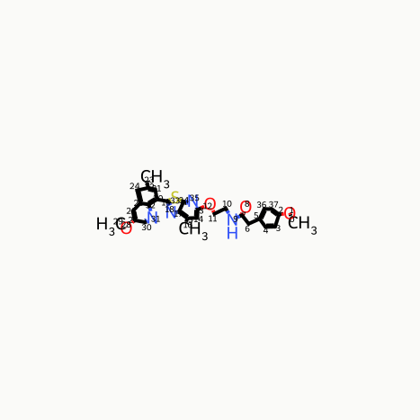 COc1ccc(CC(=O)NCCOc2cc(C)c3nc(-c4cc(C)cc5cc(OC)cnc45)sc3n2)cc1